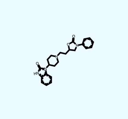 O=C1OC(CCN2CCC(n3c(=O)[nH]c4ccccc43)CC2)CN1c1ccccc1